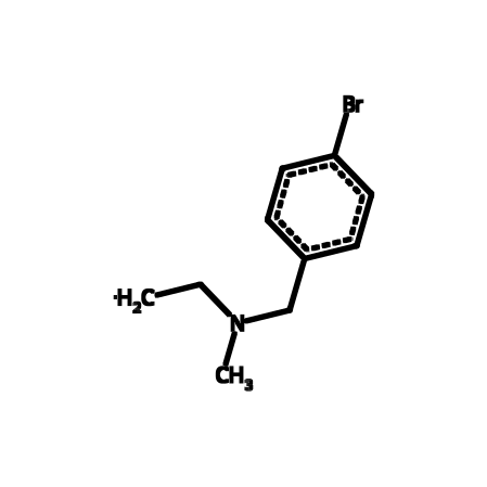 [CH2]CN(C)Cc1ccc(Br)cc1